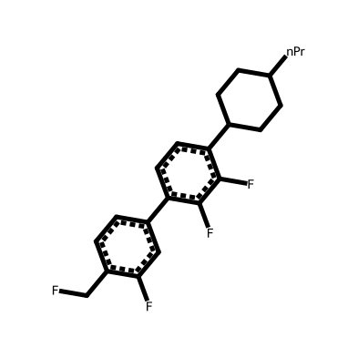 CCCC1CCC(c2ccc(-c3ccc(CF)c(F)c3)c(F)c2F)CC1